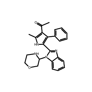 CC(=O)c1c(C)[nH]c(-c2nc3ccccc3n2C2COCCN2)c1-c1ccccc1